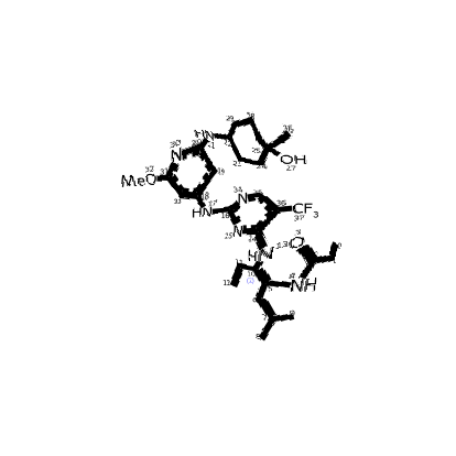 C=CC(=O)N/C(C=C(C)C)=C(/C=C)Nc1nc(Nc2cc(NC3CCC(C)(O)CC3)nc(OC)c2)ncc1C(F)(F)F